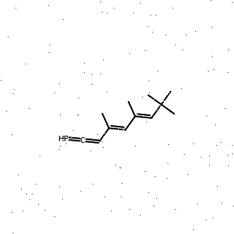 C/C(C=C=P)=C\C(C)=C\C(C)(C)C